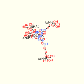 COc1ccc(C(=O)NC(CCC(=O)N(CC(=O)NCCOCCOCCOC2OC(CO)C(O)C(O)C2NC(C)=O)CC(=O)NCCOCCOC2OC(CO)C(O)C(O)C2NC(C)=O)C(=O)N(CC(=O)NCCOCCOC2OC(CO)C(O)C(O)C2NC(C)=O)CC(=O)NCCOCCOC2OC(CO)C(O)C(O)C2NC(C)=O)cc1